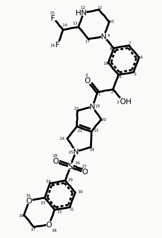 O=C(C(O)c1cccc(N2CCNC(C(F)F)C2)c1)N1CC2=C(C1)CN(S(=O)(=O)c1ccc3c(c1)OCCO3)C2